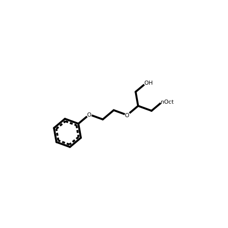 CCCCCCCCCC(CO)OCCOc1ccccc1